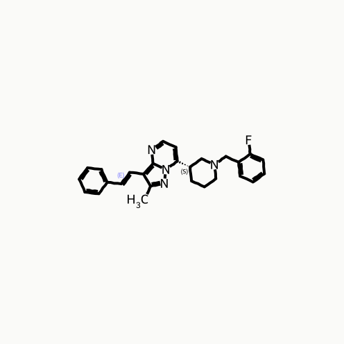 Cc1nn2c([C@H]3CCCN(Cc4ccccc4F)C3)ccnc2c1/C=C/c1ccccc1